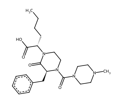 CCCC[C@@H](C(=O)O)N1CCN(C(=O)N2CCN(C)CC2)[C@@H](Cc2ccccc2)C1=O